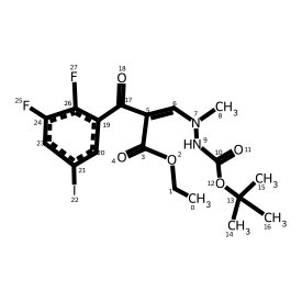 CCOC(=O)C(=CN(C)NC(=O)OC(C)(C)C)C(=O)c1cc(I)cc(F)c1F